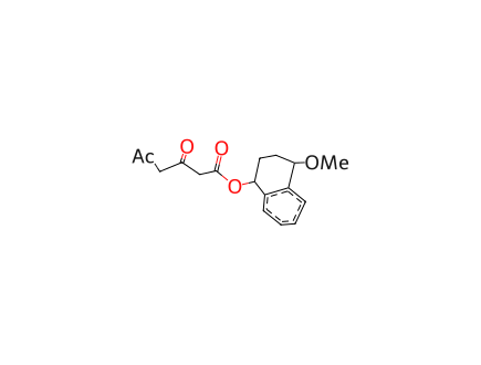 COC1CCC(OC(=O)CC(=O)CC(C)=O)c2ccccc21